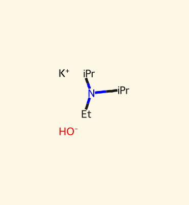 CCN(C(C)C)C(C)C.[K+].[OH-]